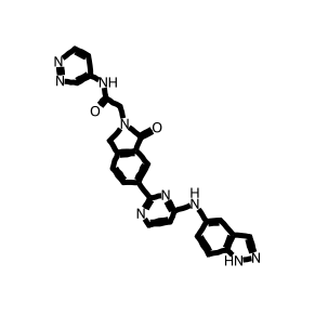 O=C(CN1Cc2ccc(-c3nccc(Nc4ccc5[nH]ncc5c4)n3)cc2C1=O)Nc1ccnnc1